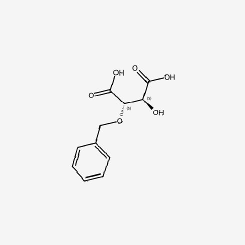 O=C(O)[C@@H](O)[C@H](OCc1ccccc1)C(=O)O